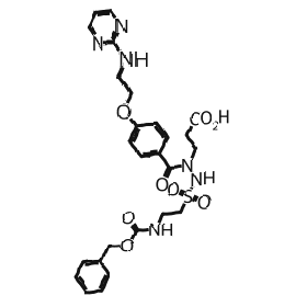 O=C(O)CCN(NS(=O)(=O)CCNC(=O)OCc1ccccc1)C(=O)c1ccc(OCCNc2ncccn2)cc1